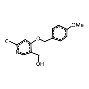 COc1ccc(COc2cc(Cl)ncc2CO)cc1